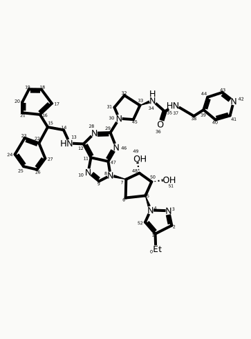 CCc1cnn([C@H]2C[C@@H](n3cnc4c(NCC(c5ccccc5)c5ccccc5)nc(N5CC[C@@H](NC(=O)NCc6ccncc6)C5)nc43)[C@H](O)[C@@H]2O)c1